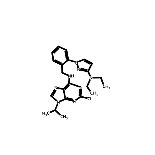 CCN(CC)c1ccn(-c2ccccc2CNc2nc(Cl)nc3c2ncn3C(C)C)n1